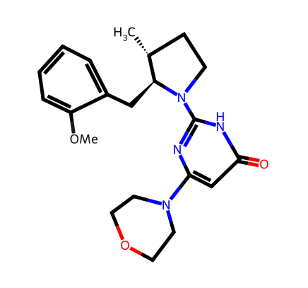 COc1ccccc1C[C@H]1[C@H](C)CCN1c1nc(N2CCOCC2)cc(=O)[nH]1